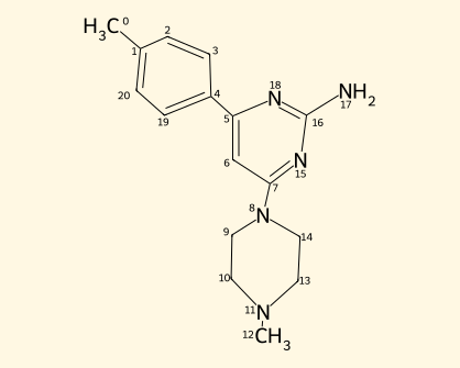 Cc1ccc(-c2cc(N3CCN(C)CC3)nc(N)n2)cc1